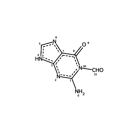 Nc1nc2[nH]cnc2c(=O)n1C=O